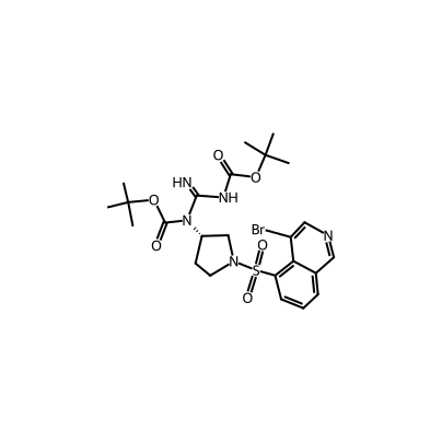 CC(C)(C)OC(=O)NC(=N)N(C(=O)OC(C)(C)C)[C@H]1CCN(S(=O)(=O)c2cccc3cncc(Br)c23)C1